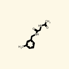 CC(=O)NCC(=O)NCc1cccc(C)c1